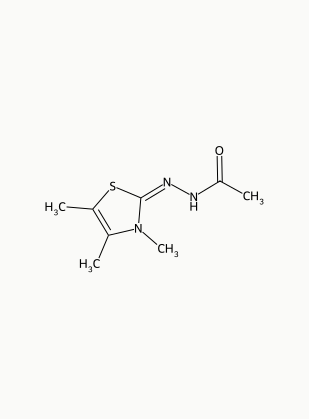 CC(=O)NN=c1sc(C)c(C)n1C